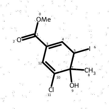 COC(=O)C1=CC(I)C(C)(O)C(Cl)=C1